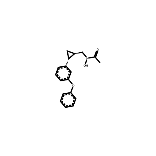 CC(=O)N(O)C[C@@H]1C[C@H]1c1cccc(Oc2ccccc2)c1